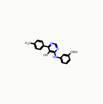 COc1cccc(Nc2ncnc(-c3ccc(C)cc3)c2N=O)c1